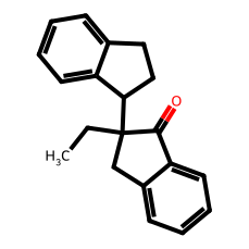 CCC1(C2CCc3ccccc32)Cc2ccccc2C1=O